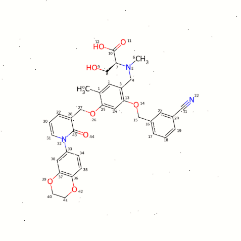 Cc1cc(CN(C)[C@@H](CO)C(=O)O)c(OCc2cccc(C#N)c2)cc1OCc1cccn(-c2ccc3c(c2)OCCO3)c1=O